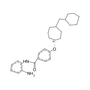 Nc1ccccc1NC(=O)c1ccc(O[C@@H]2CCCC(CC3CCCCC3)CC2)cc1